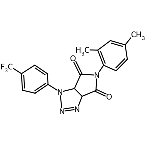 Cc1ccc(N2C(=O)C3N=NN(c4ccc(C(F)(F)F)cc4)C3C2=O)c(C)c1